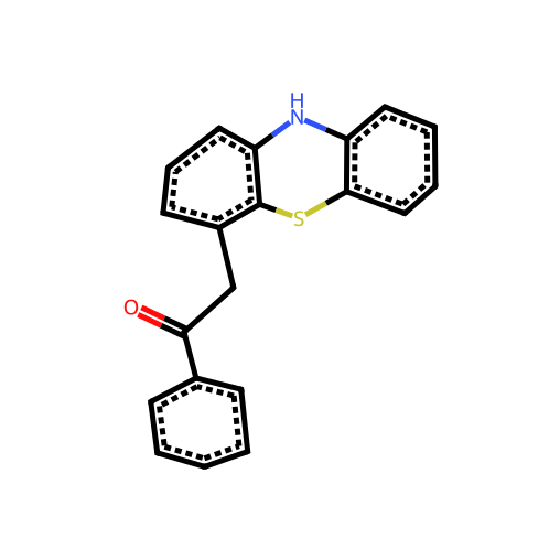 O=C(Cc1cccc2c1Sc1ccccc1N2)c1ccccc1